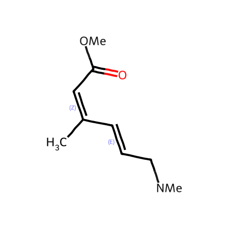 CNC/C=C/C(C)=C\C(=O)OC